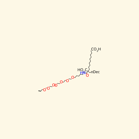 C=CCOCOCCOOCCOCCOCCOCCCCCNC(=O)C(CCCCCCCCCCC)(CCCCCCCCCCC(=O)O)C(=O)O